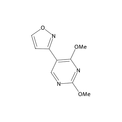 COc1ncc(-c2ccon2)c(OC)n1